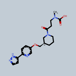 CN(CCC(=O)N1CCC[C@@H](COc2ccc(-c3ccn[nH]3)nc2)C1)C(=O)O